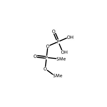 CSOP(=O)(OP(=O)(O)O)SC